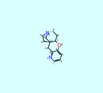 c1cnc2c(c1)OC1CC[N@@]3CC[C@@]1(C2)C3